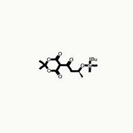 C[C@@H](CC(=O)C1C(=O)OC(C)(C)OC1=O)O[Si](C)(C)C(C)(C)C